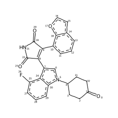 O=C1CCC(n2cc(C3=C(c4cccc5ccoc45)C(=O)NC3=O)c3c(F)cccc32)CC1